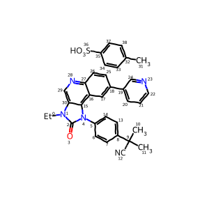 CCn1c(=O)n(-c2ccc(C(C)(C)C#N)cc2)c2c3cc(-c4cccnc4)ccc3ncc21.Cc1ccc(S(=O)(=O)O)cc1